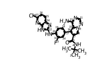 CC(C)(C)NC(=O)c1cn2ncnc(N)c2c1-c1ccc(Nc2nc3ccc(Cl)nc3[nH]2)c(F)c1